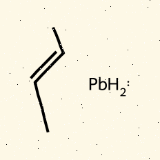 CC=CC.[PbH2]